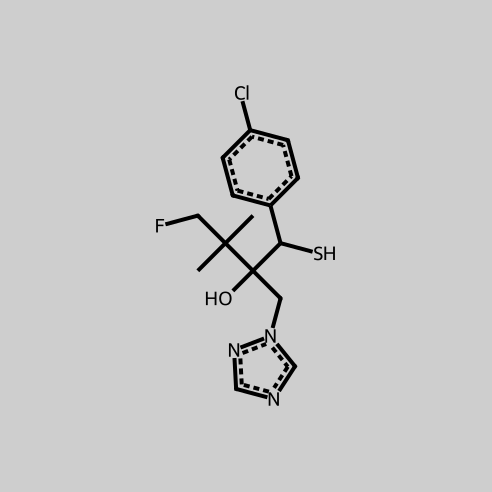 CC(C)(CF)C(O)(Cn1cncn1)C(S)c1ccc(Cl)cc1